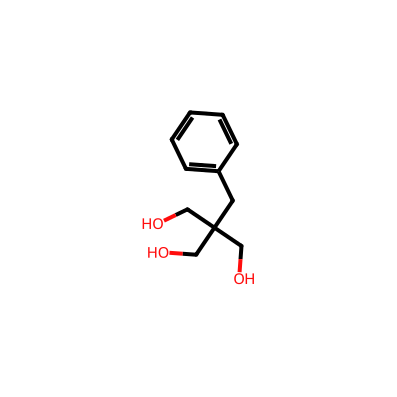 OCC(CO)(CO)Cc1ccccc1